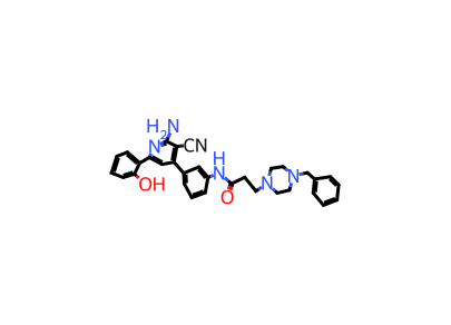 N#Cc1c(-c2cccc(NC(=O)CCN3CCN(Cc4ccccc4)CC3)c2)cc(-c2ccccc2O)nc1N